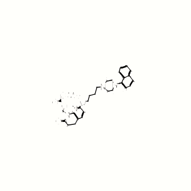 COC(=O)OCN1C(=O)CCc2ccc(OCCCCN3CCN(c4cccc5ccccc45)CC3)nc21